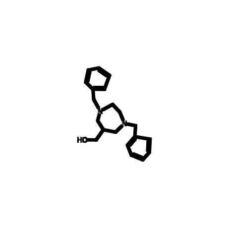 OCC1CN(Cc2ccccc2)CCN(Cc2ccccc2)C1